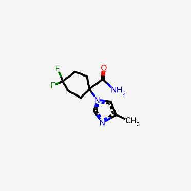 Cc1cn(C2(C(N)=O)CCC(F)(F)CC2)cn1